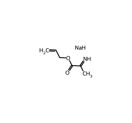 C=CCOC(=O)C(C)=N.[NaH]